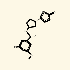 COc1cc(F)cc([C@@H](C)NC2CC[C@H](c3ccc(=O)[nH]c3)C2)c1